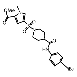 CCC(C)c1ccc(NC(=O)C2CCN(S(=O)(=O)c3cc(C(=O)OC)n(C)c3)CC2)cc1